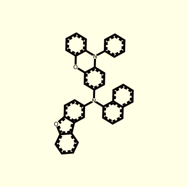 c1ccc(N2c3ccccc3Oc3cc(N(c4ccc5oc6ccccc6c5c4)c4cccc5ccccc45)ccc32)cc1